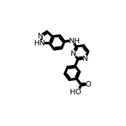 O=C(O)c1cccc(-c2nccc(Nc3ccc4[nH]ncc4c3)n2)c1